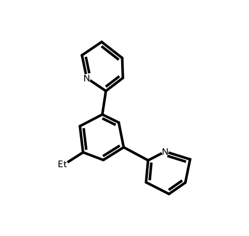 CCc1cc(-c2ccccn2)cc(-c2ccccn2)c1